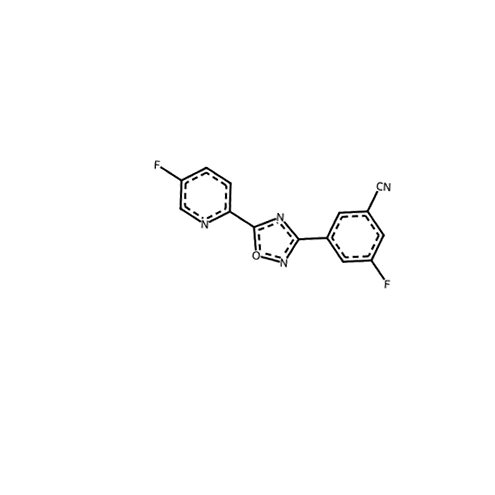 N#Cc1cc(F)cc(-c2noc(-c3ccc(F)cn3)n2)c1